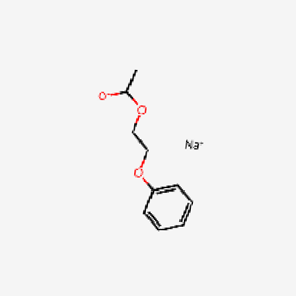 CC([O-])OCCOc1ccccc1.[Na+]